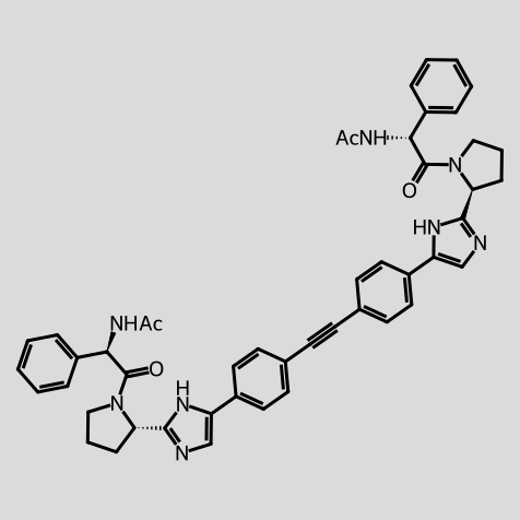 CC(=O)N[C@@H](C(=O)N1CCC[C@H]1c1ncc(-c2ccc(C#Cc3ccc(-c4cnc([C@@H]5CCCN5C(=O)[C@H](NC(C)=O)c5ccccc5)[nH]4)cc3)cc2)[nH]1)c1ccccc1